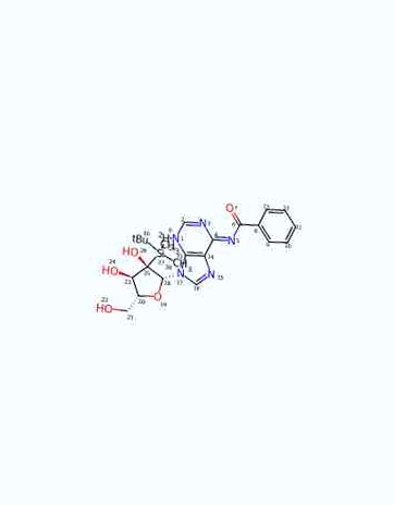 [2H]n1cnc(=NC(=O)c2ccccc2)c2ncn([C@@H]3O[C@H](CO)[C@@H](O)[C@]3(O)[Si](C)(C)C(C)(C)C)c21